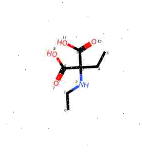 CCNC(CC)(C(=O)O)C(=O)O